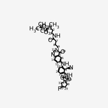 CN(CCNC(=O)CCCn1cnc2ccc(Nc3cccc(NS(=O)(=O)N4CC[C@@H](F)C4)c3C#N)cc2c1=O)C(=O)OC(C)(C)C